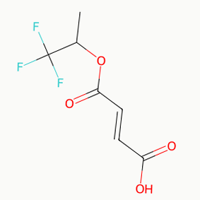 CC(OC(=O)C=CC(=O)O)C(F)(F)F